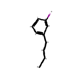 CCCCc1c[c]cc(I)c1